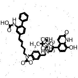 CC(C)(C)[Si](C)(C)OC(CNCc1ccc2c(c1)oc(=O)n2CCC/C=C/c1ccc(-c2ccccc2)c(NC(=O)O)c1)c1ccc(O)c2[nH]c(=O)ccc12